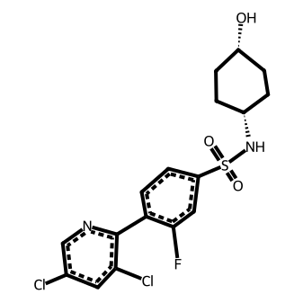 O=S(=O)(N[C@H]1CC[C@@H](O)CC1)c1ccc(-c2ncc(Cl)cc2Cl)c(F)c1